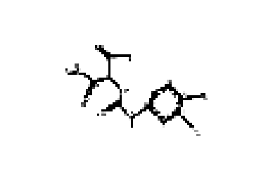 C=C(C)C(OC(=O)Nc1ccc(C)c(Cl)c1)C(=O)OC